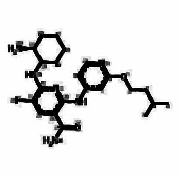 CC(C)CCOc1cc(Nc2nc(NC3CCCC[C@@H]3N)c(F)cc2C(N)=O)ccn1